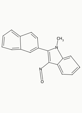 Cn1c(-c2ccc3ccccc3c2)c(N=O)c2ccccc21